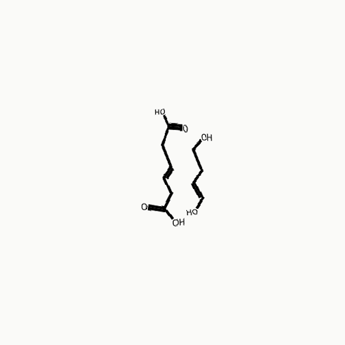 O=C(O)CC=CCC(=O)O.OC=CCCO